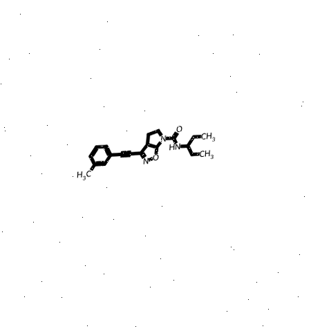 CCC(CC)NC(=O)N1CCC2C(C#Cc3cccc(C)c3)=NOC21